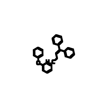 CCC=C(c1ccccc1)c1ccccc1.c1ccc(Oc2ccccc2)cc1